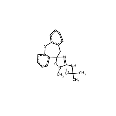 CC(C)(C)NC1=NC2(Cc3ccccc3Sc3ccccc32)ON1N